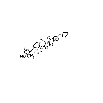 CCN(C(=O)c1cc(Cc2ccccc2)on1)C1COc2ccc(C#CC(C)(C)O)cc2N(C)C1=O